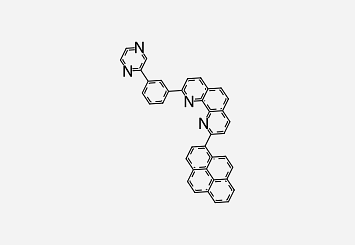 c1cc(-c2cnccn2)cc(-c2ccc3ccc4ccc(-c5ccc6ccc7cccc8ccc5c6c78)nc4c3n2)c1